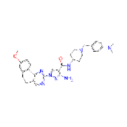 COc1ccc2c(c1)CCc1cnc(-n3cc(C(=O)NC4CCN(Cc5ccc(N(C)C)cc5)CC4)c(N)n3)nc1-2